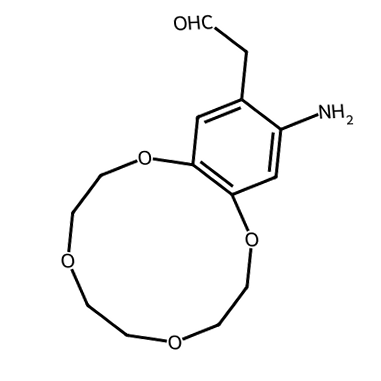 Nc1cc2c(cc1CC=O)OCCOCCOCCO2